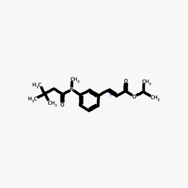 CC(C)OC(=O)/C=C/c1cccc(N(C)C(=O)CC(C)(C)C)c1